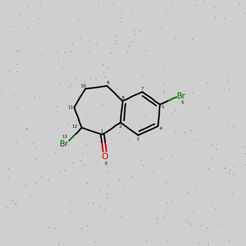 O=C1c2ccc(Br)cc2CCCC1Br